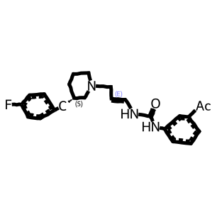 CC(=O)c1cccc(NC(=O)N/C=C/CN2CCC[C@@H](Cc3ccc(F)cc3)C2)c1